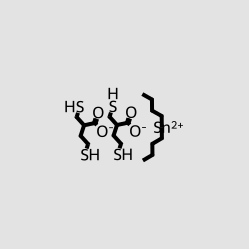 CCC[CH2][Sn+2][CH2]CCC.O=C([O-])C(CS)CCS.O=C([O-])C(CS)CCS